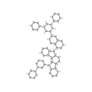 c1ccc(-c2cccc(-n3c4ccccc4c4ccc5c(c6ccccc6n5-c5cccc6cc(-c7nc(-c8ccccc8)nc(-c8ccccc8)n7)ccc56)c43)c2)cc1